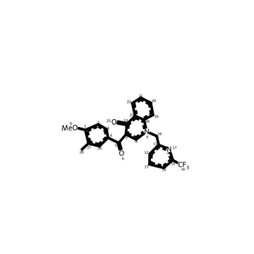 COc1ccc(C(=O)c2cn(Cc3cccc(C(F)(F)F)n3)c3ccccc3c2=O)cc1C